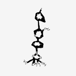 Cc1cc(-c2ccc(B3OC(C)(C)C(C)(C)O3)cc2)ncc1-c1ccc(F)cc1